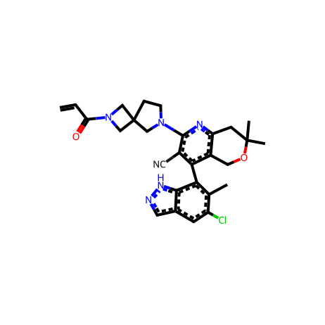 C=CC(=O)N1CC2(CCN(c3nc4c(c(-c5c(C)c(Cl)cc6cn[nH]c56)c3C#N)COC(C)(C)C4)C2)C1